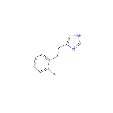 CCc1ccccc1CCc1c[nH]cn1